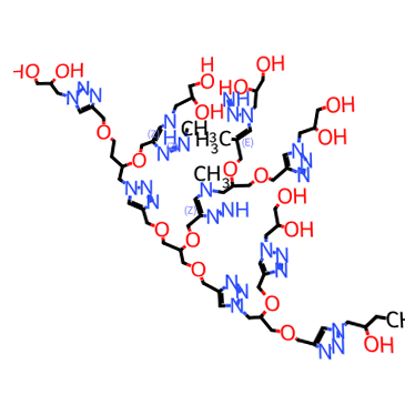 CCC(O)Cn1cc(COCC(Cn2cc(COCC(COCc3cn(CC(CCOCc4cn(CC(O)CO)nn4)OCC(=C/NCC(O)CO)/N=N\C)nn3)OC/C(=C/N(C)CC(COCc3cn(CC(O)CO)nn3)OC/C(C)=C/N(CC(O)CO)N=N)N=N)nn2)OCc2cn(CC(O)CO)nn2)nn1